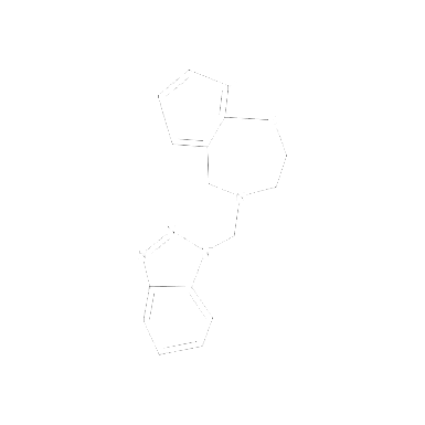 c1ccc2c(c1)CN(Cn1nnc3ccccc31)CCS2